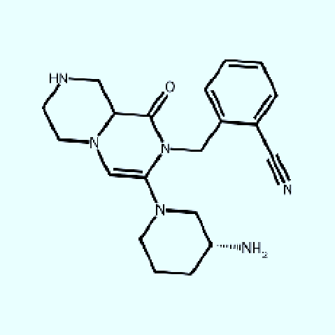 N#Cc1ccccc1CN1C(=O)C2CNCCN2C=C1N1CCC[C@@H](N)C1